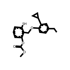 CCc1ccc(OCc2c(S)cccc2OC(=O)OC)c(C2CC2)c1